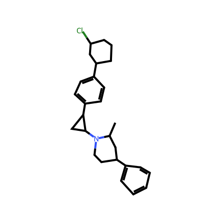 CC1CC(c2ccccc2)CCN1C1CC1c1ccc(C2CCCC(Cl)C2)cc1